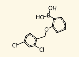 OB(O)c1ccccc1OCc1ccc(Cl)cc1Cl